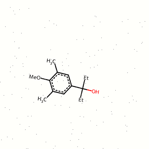 CCC(O)(CC)c1cc(C)c(OC)c(C)c1